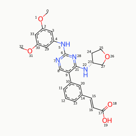 COc1cc(Nc2ncc(-c3cccc(/C=C/C(=O)O)c3)c(N[C@@H]3CCOC3)n2)cc(OC)c1